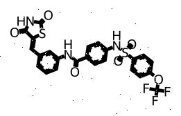 O=C1NC(=O)C(=Cc2cccc(NC(=O)c3ccc(NS(=O)(=O)c4ccc(OC(F)(F)F)cc4)cc3)c2)S1